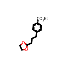 CCOC(=O)c1ccc(CCCC2OCCO2)cc1